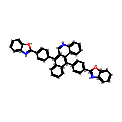 c1ccc2oc(-c3ccc(-c4c5ccccc5c(-c5ccc(-c6nc7ccccc7o6)cc5)c5c4cnc4ccccc45)cc3)nc2c1